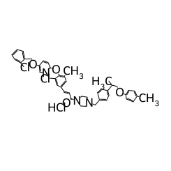 Cc1ccc(OCC(C)c2ccc(CN3CCN(C(=O)/C=C/c4cc(C)c(Oc5ccc(OCc6ccccc6Cl)cn5)c(Cl)c4)CC3)cc2)cc1.Cl